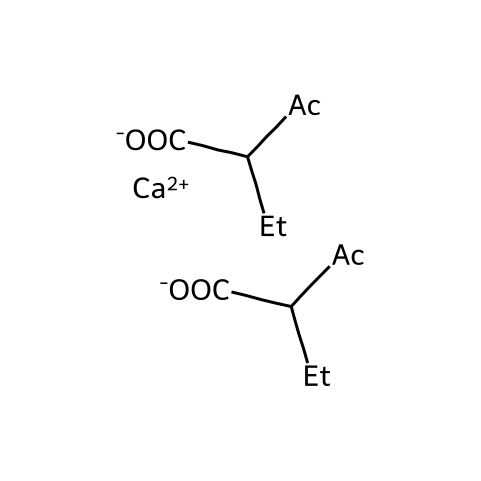 CCC(C(C)=O)C(=O)[O-].CCC(C(C)=O)C(=O)[O-].[Ca+2]